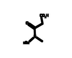 CCCCN(C)C(=O)CC(=O)O